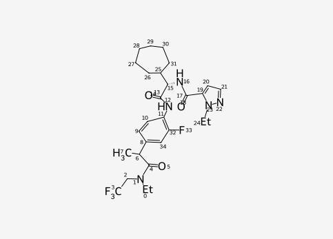 CCN(CC(F)(F)F)C(=O)C(C)c1ccc(NC(=O)[C@@H](NC(=O)c2ccnn2CC)C2CCCCCC2)c(F)c1